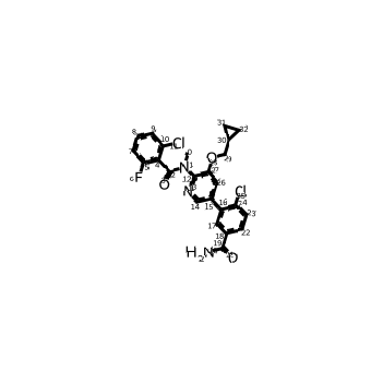 CN(C(=O)c1c(F)cccc1Cl)c1ncc(-c2cc(C(N)=O)ccc2Cl)cc1OCC1CC1